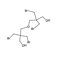 OCC(CBr)(CBr)COCC(CO)(CBr)CBr